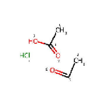 CC(=O)O.CC=O.Cl